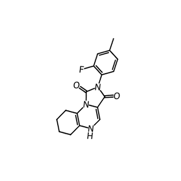 Cc1ccc(-n2c(=O)c3c[nH]c4c(n-3c2=O)CCCC4)c(F)c1